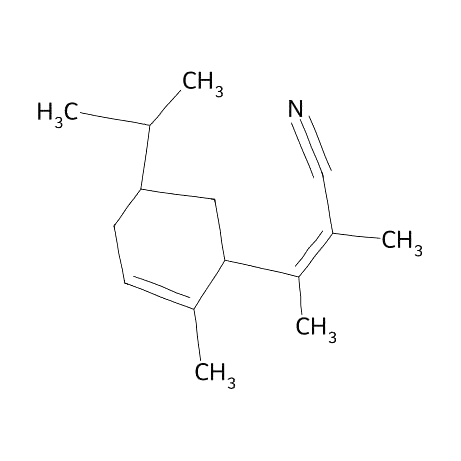 CC1=CCC(C(C)C)CC1C(C)=C(C)C#N